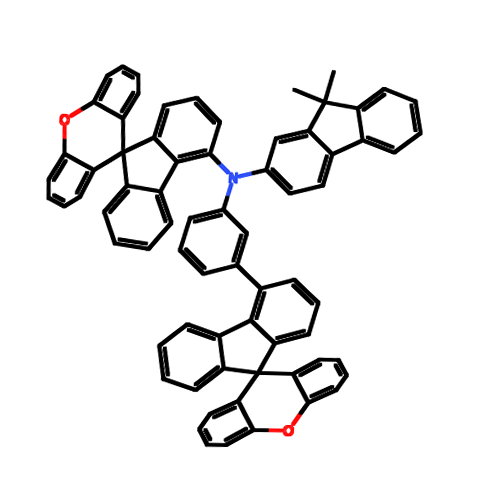 CC1(C)c2ccccc2-c2ccc(N(c3cccc(-c4cccc5c4-c4ccccc4C54c5ccccc5Oc5ccccc54)c3)c3cccc4c3-c3ccccc3C43c4ccccc4Oc4ccccc43)cc21